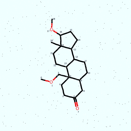 COCC12CCC(=O)CC1CCC1C3CCC(OC)C3(C)CCC12